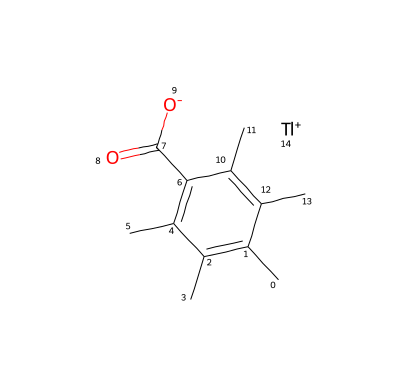 Cc1c(C)c(C)c(C(=O)[O-])c(C)c1C.[Tl+]